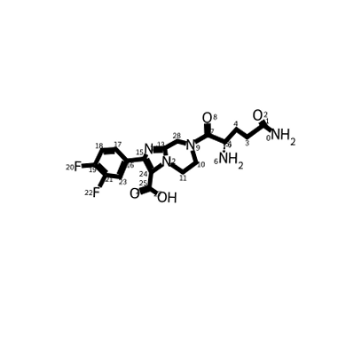 NC(=O)CC[C@H](N)C(=O)N1CCn2c(nc(-c3ccc(F)c(F)c3)c2C(=O)O)C1